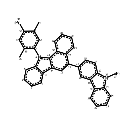 Cc1cc(-n2c3ccccc3c3cc(-c4ccc5c(c4)c4ccccc4n5C(C)C)c4ccccc4c32)c(C)cc1C(C)C